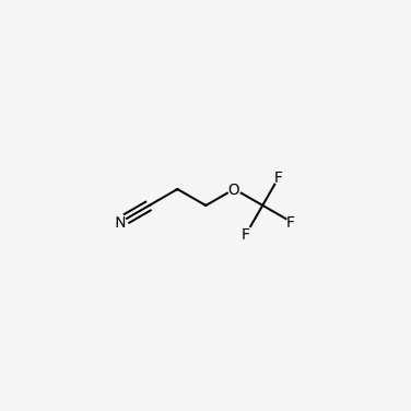 N#CCCOC(F)(F)F